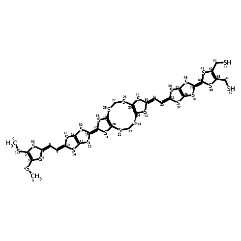 CSC1=C(SC)SC(=CC=C2SC3=C(S2)SC(=C2SC4=C(SCSC5=C(SCS4)SC(=CC=C4SC6=C(S4)SC(=C4SC(CS)=C(CS)S4)S6)S5)S2)S3)S1